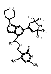 Cc1cc(C)c(CNC(O)c2cc(C3=CC(C)(C)NC(C)(C)C3)nc3c2cnn3C2CCNCC2)c(=O)[nH]1